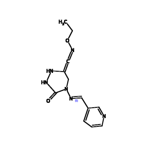 CCON=C=C1CN(/N=C/c2cccnc2)C(=O)NN1